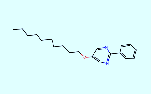 CCCCCCCCCCOc1cnc(-c2cc[c]cc2)nc1